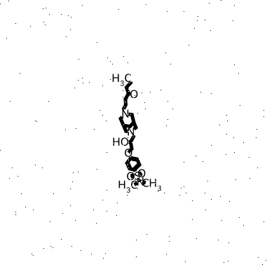 CCCC(=O)CCCN1CC2CC(C1)CN(CC(O)COc1ccc(S(=O)(=O)N(C)C)cc1)C2